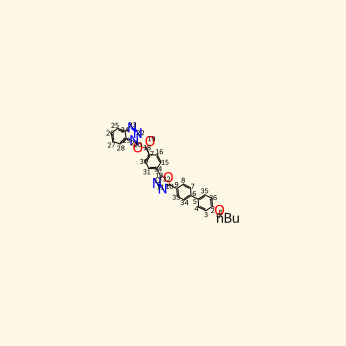 CCCCOc1ccc(-c2ccc(-c3nnc(-c4ccc(C(=O)On5nnc6ccccc65)cc4)o3)cc2)cc1